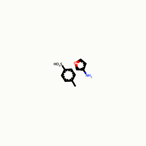 Cc1ccc(S(=O)(=O)O)cc1.Nc1ccoc1